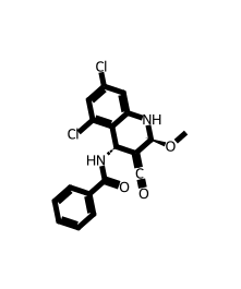 CO[C@@H]1Nc2cc(Cl)cc(Cl)c2[C@@H](NC(=O)c2ccccc2)C1=C=O